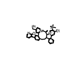 C=C1C[n+]2ccc(CC(C)C)cc2-c2c(ccc3c2oc2ncccc23)CCC2c3ccccc3-c3cc(CC)c([Si](C)(C)C)c[n+]3C12